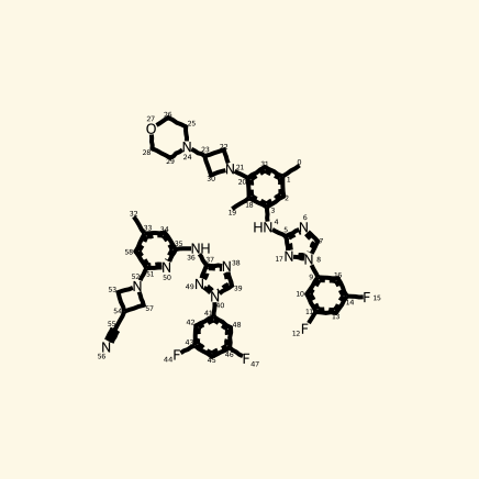 Cc1cc(Nc2ncn(-c3cc(F)cc(F)c3)n2)c(C)c(N2CC(N3CCOCC3)C2)c1.Cc1cc(Nc2ncn(-c3cc(F)cc(F)c3)n2)nc(N2CC(C#N)C2)c1